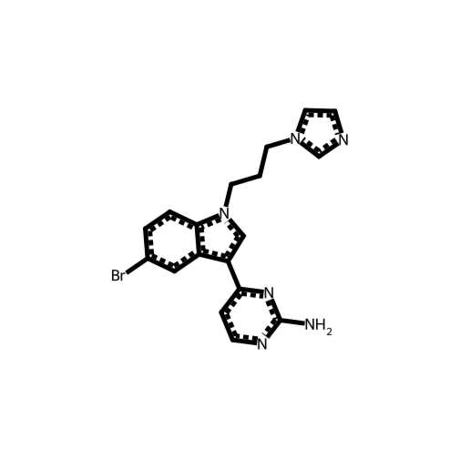 Nc1nccc(-c2cn(CCCn3ccnc3)c3ccc(Br)cc23)n1